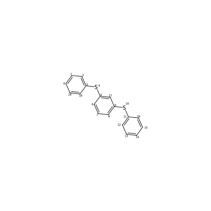 c1ccc(Sc2cccc(Sc3ccccc3)c2)cc1